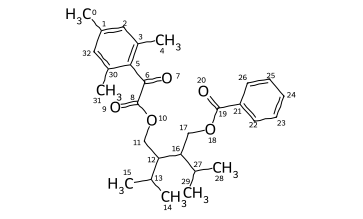 Cc1cc(C)c(C(=O)C(=O)OCC(C(C)C)C(COC(=O)c2ccccc2)C(C)C)c(C)c1